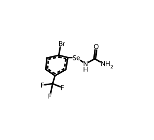 NC(=O)N[Se]c1cc(C(F)(F)F)ccc1Br